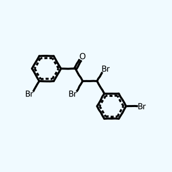 O=C(c1cccc(Br)c1)C(Br)C(Br)c1cccc(Br)c1